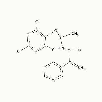 C=C(C(=O)NC(C)Oc1c(Cl)cc(Cl)cc1Cl)c1cccnc1